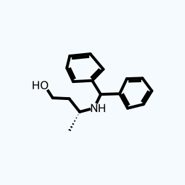 C[C@H](CCO)NC(c1ccccc1)c1ccccc1